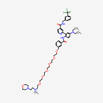 CCN(CC)c1ccc(NC(=O)c2cccc(COCCOCCOCCOCCOCCOCCN(C)CCN3CCOCC3)c2)c(-c2cc(C(=O)NCc3cccc(C(F)(F)F)c3)ccn2)c1